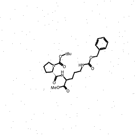 COC(=O)C(CCCNC(=O)OCc1ccccc1)NC(=O)[C@@H]1CCCN1C(=O)OC(C)(C)C